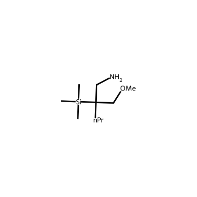 CCCC(CN)(COC)[Si](C)(C)C